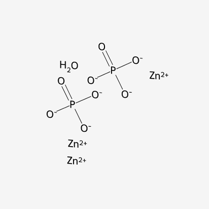 O.O=P([O-])([O-])[O-].O=P([O-])([O-])[O-].[Zn+2].[Zn+2].[Zn+2]